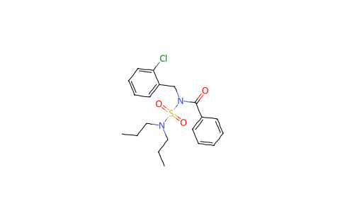 CCCN(CCC)S(=O)(=O)N(Cc1ccccc1Cl)C(=O)c1ccccc1